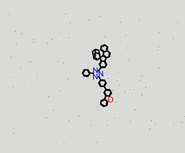 c1ccc(-c2nc(-c3ccc(-c4ccc5oc6ccccc6c5c4)cc3)nc(-c3ccc4c(c3)C3(c5c-4ccc4ccccc54)C4CC5CC(C4)CC3C5)n2)cc1